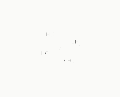 C=S(=C)(C)C